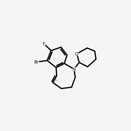 Fc1ccc2c(c1Br)/C=C/CCCN2C1CCCCO1